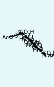 CNC(CSCC(=O)NCCN[S+]([O-])[C@H](O)[C@@H](O)[C@@H](O)[C@H](O)C(=O)NCCNC(=O)CSCC(NC(=O)CCOCCCOCCC(C)=O)C(=O)O)C(=O)O